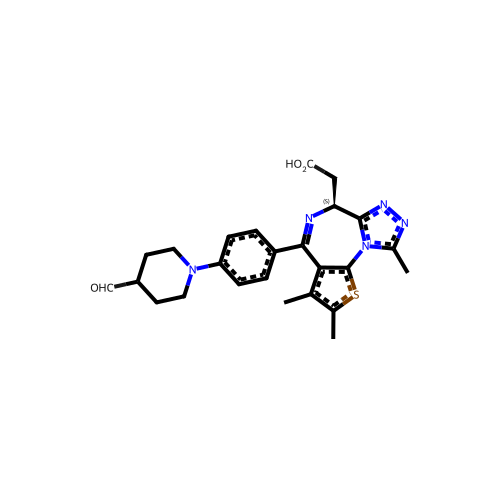 Cc1sc2c(c1C)C(c1ccc(N3CCC(C=O)CC3)cc1)=N[C@@H](CC(=O)O)c1nnc(C)n1-2